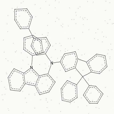 c1ccc(-c2ccc(N(c3ccc4c(c3)C(c3ccccc3)(c3ccccc3)c3ccccc3-4)c3cccc4c5ccccc5n(-c5ccccc5)c34)cc2)cc1